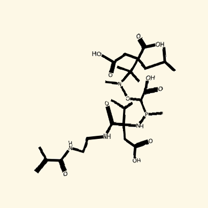 C=C(C)C(=O)NCCNC(=O)C(CC(=O)O)(NP(C)C(ON(C)C(C)(C)C(CC(=O)O)(CC(C)C)C(=O)O)C(=O)O)C(C)C